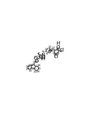 O=C(NC(=S)NCC1CCN(Cc2cc(Cl)cc(Cl)c2O)CC1)OCC1c2ccccc2-c2ccccc21